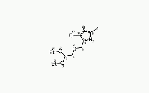 CCOC(COCc1nc(C)sc1Cl)OCC